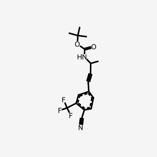 CC(C#Cc1ccc(C#N)c(C(F)(F)F)c1)NC(=O)OC(C)(C)C